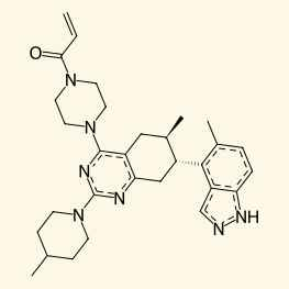 C=CC(=O)N1CCN(c2nc(N3CCC(C)CC3)nc3c2C[C@@H](C)[C@H](c2c(C)ccc4[nH]ncc24)C3)CC1